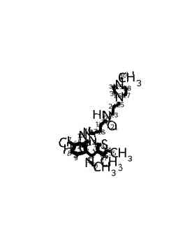 C/N=C(/c1ccc(Cl)cc1)c1c(-n2c(C)nnc2CCC(=O)NCCCN2CCN(C)CC2)sc(C)c1C